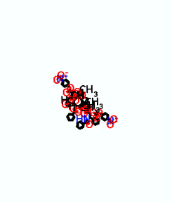 CC(=O)O[C@H]1C(=O)[C@]2(C)[C@@H](OC(=O)Oc3ccc([N+](=O)[O-])cc3)C[C@H]3OC[C@@]3(OC(C)=O)[C@H]2[C@H](OC(=O)c2ccccc2)[C@]2(O)CC(OC(=O)[C@H](OC(=O)Oc3ccc([N+](=O)[O-])cc3)[C@@H](NC(=O)c3ccccc3)c3ccccc3)C(C)=C1C2(C)C